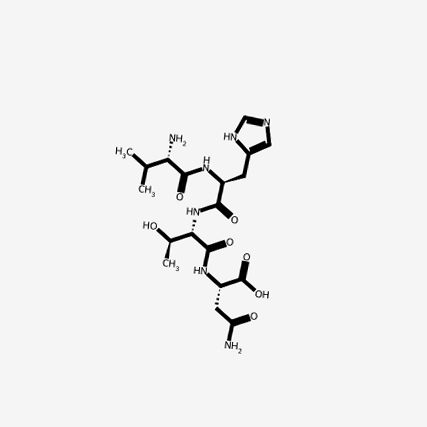 CC(C)[C@H](N)C(=O)N[C@@H](Cc1cnc[nH]1)C(=O)N[C@H](C(=O)N[C@@H](CC(N)=O)C(=O)O)[C@@H](C)O